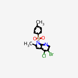 Cc1ccc(S(=O)(=O)n2c(C)cc3c(Cl)c(Br)cnc32)cc1